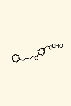 O=COCc1ccc(OCCCCc2ccccc2)cc1